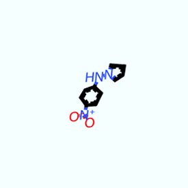 O=[N+]([O-])c1ccc(Nn2cccc2)cc1